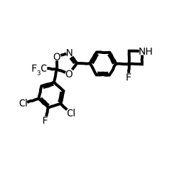 Fc1c(Cl)cc(C2(C(F)(F)F)ON=C(c3ccc(C4(F)CNC4)cc3)O2)cc1Cl